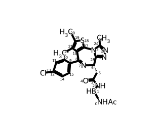 CC(=O)NBNC(=O)C[C@@H]1N=C(c2ccc(Cl)cc2)c2c(sc(C)c2C)-n2c(C)nnc21